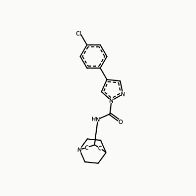 O=C(NC1CC2CCN(CC2)C1)n1cc(-c2ccc(Cl)cc2)cn1